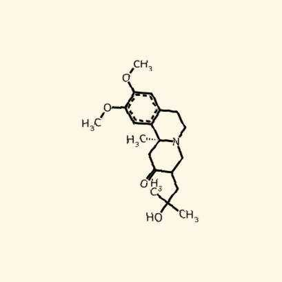 COc1cc2c(cc1OC)[C@]1(C)CC(=O)C(CC(C)(C)O)CN1CC2